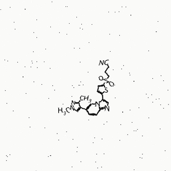 Cc1nn(C)cc1-c1ccc2ncc(-c3ccc(S(=O)(=O)CCCC#N)s3)n2c1